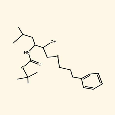 CC(C)CC(NC(=O)OC(C)(C)C)C(O)CSCCCc1ccccc1